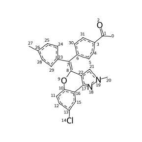 CC(=O)c1ccc(/C(=C2/Oc3ccc(Cl)cc3-c3nn(C)cc32)c2ccc(C)cc2)cc1